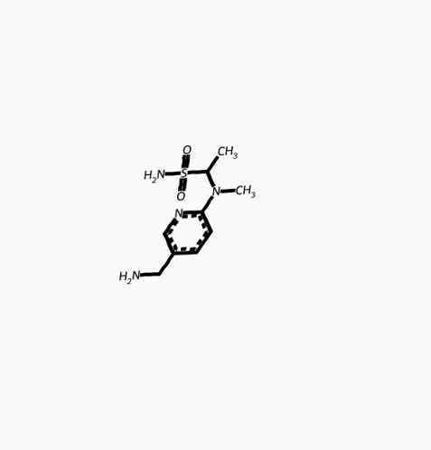 CC(N(C)c1ccc(CN)cn1)S(N)(=O)=O